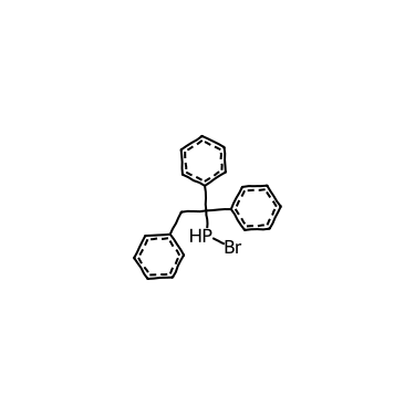 BrPC(Cc1ccccc1)(c1ccccc1)c1ccccc1